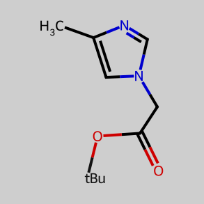 Cc1cn(CC(=O)OC(C)(C)C)cn1